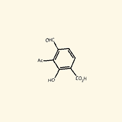 CC(=O)c1c(C=O)ccc(C(=O)O)c1O